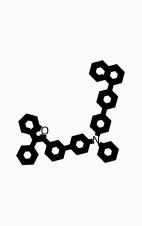 c1ccc(-c2c(-c3cccc(-c4ccc(N(c5ccccc5)c5ccc(-c6ccc(-c7cccc8ccccc78)cc6)cc5)cc4)c3)oc3ccccc23)cc1